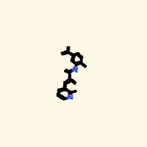 C=C(C)c1ccc(C)c(/N=C(C)/C(C)=C/c2cccnc2C)c1